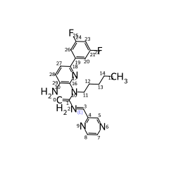 C=C(/N=C/c1cnccn1)N(CCCCC)c1nc(-c2cc(F)cc(F)c2)ccc1N